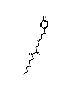 CC(C)CCOCCNC(=O)CCOCCOc1ccc(C(C)C)cc1